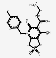 Cc1ccc(Cn2c3c(c(O)c(C(=O)NCC(=O)O)c2=O)CS(=O)(=O)C3)cc1